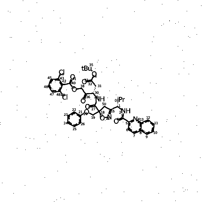 CC(C)[C@H](NC(=O)c1ccc2ccccc2n1)C1=NOC(COc2ccccc2)(C(=O)N[C@@H](CC(=O)OC(C)(C)C)C(=O)COC(=O)c2c(Cl)cccc2Cl)C1